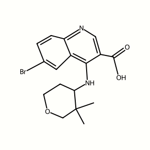 CC1(C)COCCC1Nc1c(C(=O)O)cnc2ccc(Br)cc12